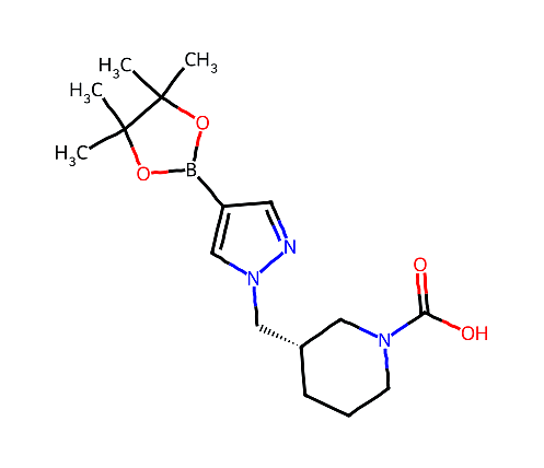 CC1(C)OB(c2cnn(C[C@H]3CCCN(C(=O)O)C3)c2)OC1(C)C